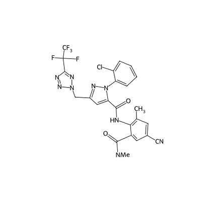 CNC(=O)c1cc(C#N)cc(C)c1NC(=O)c1cc(Cn2nnc(C(F)(F)C(F)(F)F)n2)nn1-c1ccccc1Cl